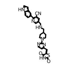 N#Cc1cc(CNCC2CCN(c3nccc(C=C4SC(=O)NC4=O)n3)CC2)cnc1-c1ccc2[nH]ccc2c1